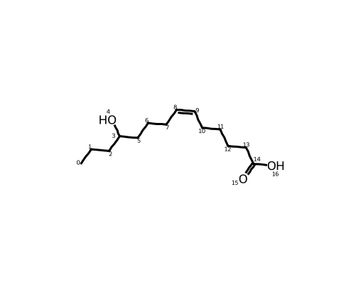 CCCC(O)CCC/C=C\CCCCC(=O)O